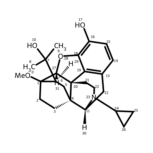 COC12CC[C@@]3(C[C@@H]1C(C)(C)O)[C@H]1Cc4ccc(O)c5c4[C@@]3(CCN1C1CC1)[C@H]2O5